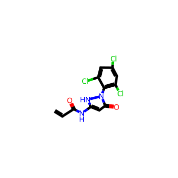 C=CC(=O)Nc1cc(=O)n(-c2c(Cl)cc(Cl)cc2Cl)[nH]1